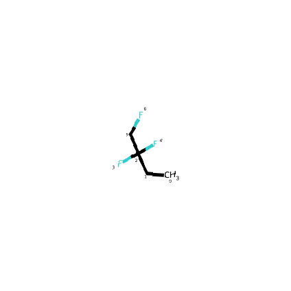 CCC(F)(F)[CH]F